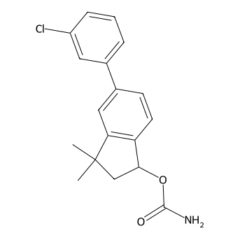 CC1(C)CC(OC(N)=O)c2ccc(-c3cccc(Cl)c3)cc21